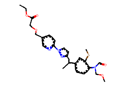 CCOC(=O)COCc1ccc(-n2ccc(C(C)c3ccc(N(C=O)COC)c(SC)c3)n2)nc1